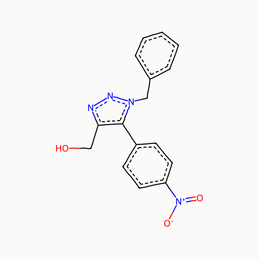 O=[N+]([O-])c1ccc(-c2c(CO)nnn2Cc2ccccc2)cc1